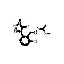 CSC(C)=NOCc1c(Cl)cccc1-n1nnn(C)c1=O